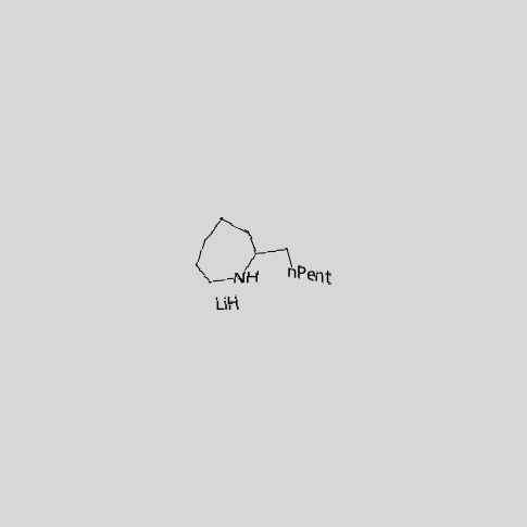 [CH2]CCCCCC1CCCCCN1.[LiH]